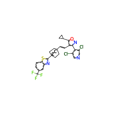 FC(F)(F)c1ccc2sc(C34CCC(C=Cc5c(-c6c(Cl)cncc6Cl)noc5C5CC5)(CC3)CC4)nc2c1